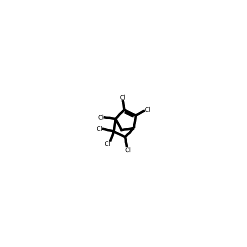 ClC1=C(Cl)C2(Cl)CC1C(Cl)C2(Cl)Cl